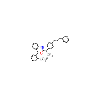 CC(C(=O)Nc1ccccc1Cc1ccccc1C(=O)O)c1ccc(CCCc2ccccc2)cc1